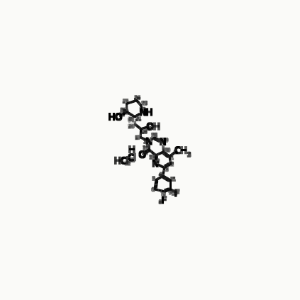 Cc1cc(-c2ccc(F)c(F)c2)nc2c(=O)n(CC(O)C[C@H]3NCCC[C@@H]3O)cnc12.Cl.Cl